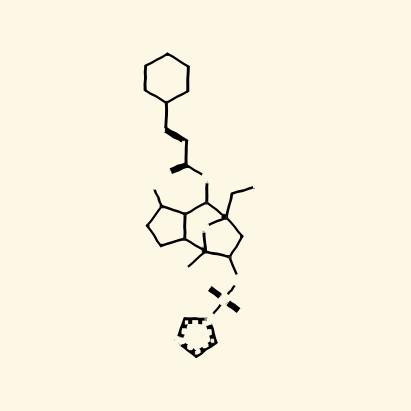 CC(C)CC12CC(OS(=O)(=O)n3ccnc3)C(C)(O1)C1CCC(I)C1C2OC(=O)/C=C/C1CCCCC1